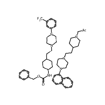 CC(=O)CN1CCC(CCN2CCN(c3cccc4ccccc34)CC2)CC1.O=C(NC1CCC(CCN2CCN(c3cccc(C(F)(F)F)c3)CC2)CC1)OCc1ccccc1